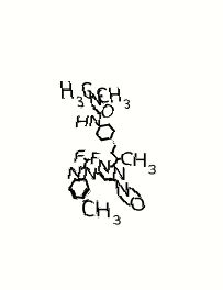 Cc1ccc2nc(C(F)F)n(-c3cc(N4CCOCC4)nc(C(C)CC[C@H]4CC[C@H](NC(=O)CN(C)C)CC4)n3)c2c1